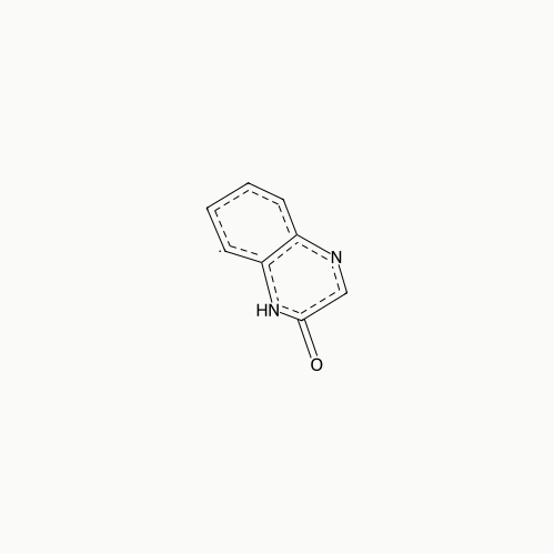 O=c1cnc2ccc[c]c2[nH]1